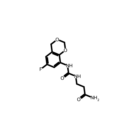 NC(=O)CCNC(=O)Nc1cc(F)cc2c1OCOC2